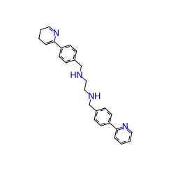 C1=NC(c2ccc(CNCCNCc3ccc(-c4ccccn4)cc3)cc2)=CCC1